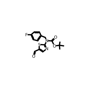 CC(C)(C)OC(=O)N(Cc1ccc(F)cc1)c1ncc(C=O)s1